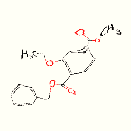 CCOc1cc(C(=O)OC)ccc1C(=O)OCc1ccccc1